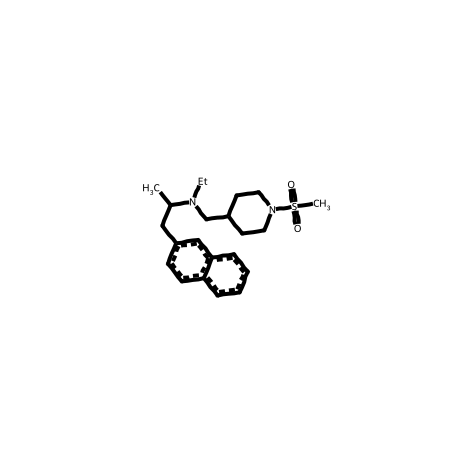 CCN(CC1CCN(S(C)(=O)=O)CC1)C(C)Cc1ccc2ccccc2c1